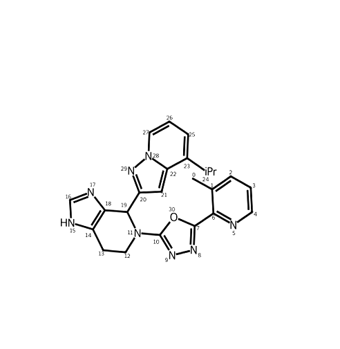 Cc1cccnc1-c1nnc(N2CCc3[nH]cnc3C2c2cc3c(C(C)C)cccn3n2)o1